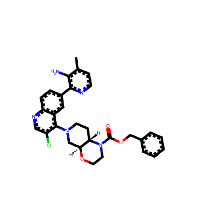 Cc1ccnc(-c2ccc3ncc(Cl)c(N4CC[C@H]5[C@H](C4)OCCN5C(=O)OCc4ccccc4)c3c2)c1N